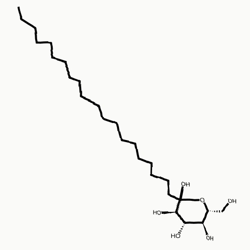 CCCCCCCCCCCCCCCCCCCCC1(O)O[C@H](CO)[C@@H](O)[C@H](O)[C@H]1O